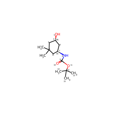 CC1(C)C[C@@H](O)C[C@@H](NC(=O)OC(C)(C)C)C1